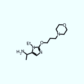 CCn1c(C(C)N)cnc1OCCCN1CCOCC1